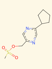 CS(=O)(=O)OCc1cnc(C2CCCC2)cn1